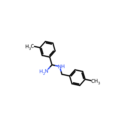 Cc1ccc(CNC(N)c2cccc(C)c2)cc1